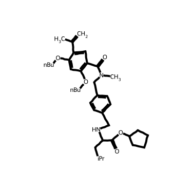 C=C(C)c1cc(C(=O)N(C)Cc2ccc(CNC(CC(C)C)C(=O)OC3CCCC3)cc2)c(OCCCC)cc1OCCCC